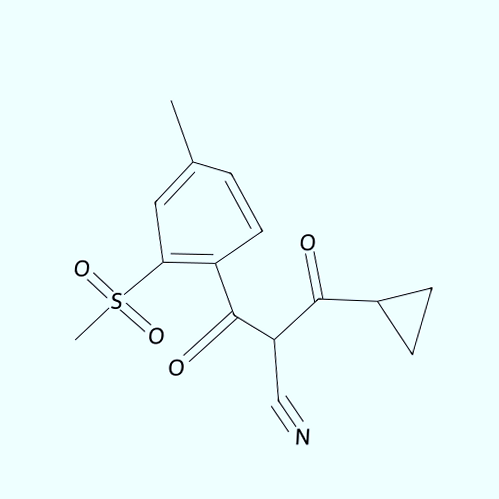 Cc1ccc(C(=O)C(C#N)C(=O)C2CC2)c(S(C)(=O)=O)c1